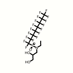 CCN(CC(O)CO)S(=O)(=O)C(F)(F)C(F)(F)C(F)(F)C(F)(F)C(F)(F)C(F)(F)C(F)(F)C(F)(F)F